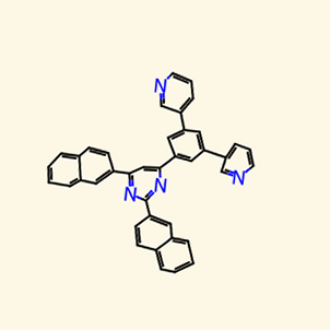 c1cncc(-c2cc(-c3cccnc3)cc(-c3cc(-c4ccc5ccccc5c4)nc(-c4ccc5ccccc5c4)n3)c2)c1